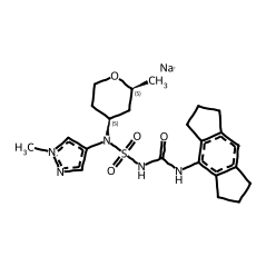 C[C@H]1C[C@@H](N(c2cnn(C)c2)S(=O)(=O)NC(=O)Nc2c3c(cc4c2CCC4)CCC3)CCO1.[Na]